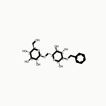 OC[C@H]1O[C@@H](OC[C@H]2O[C@@H](O)[C@H](OCc3ccccc3)[C@@H](O)[C@@H]2O)[C@H](O)[C@@H](O)[C@@H]1O